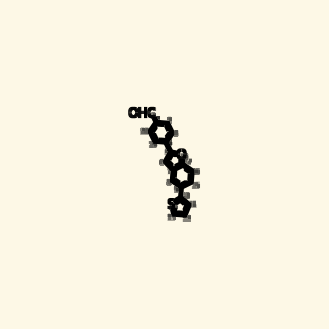 O=Cc1ccc(-c2cc3cc(-c4cccs4)ccc3o2)cc1